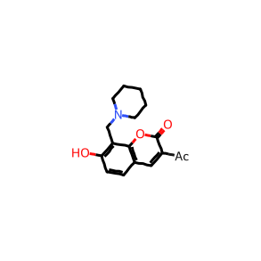 CC(=O)c1cc2ccc(O)c(CN3CCCCC3)c2oc1=O